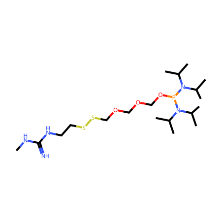 CNC(=N)NCCSSCOCOCOP(N(C(C)C)C(C)C)N(C(C)C)C(C)C